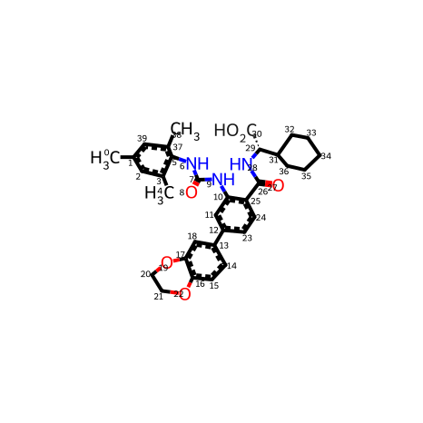 Cc1cc(C)c(NC(=O)Nc2cc(-c3ccc4c(c3)OCCO4)ccc2C(=O)N[C@H](C(=O)O)C2CCCCC2)c(C)c1